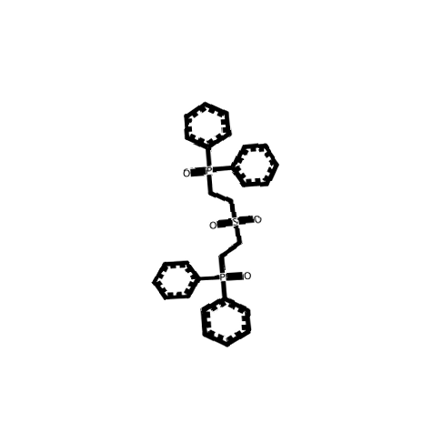 O=P(CCS(=O)(=O)CCP(=O)(c1ccccc1)c1ccccc1)(c1ccccc1)c1ccccc1